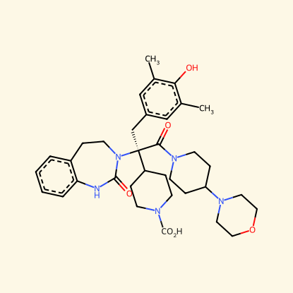 Cc1cc(C[C@](C(=O)N2CCC(N3CCOCC3)CC2)(C2CCN(C(=O)O)CC2)N2CCc3ccccc3NC2=O)cc(C)c1O